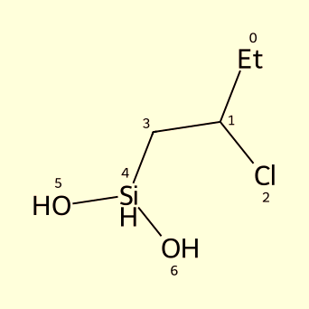 CCC(Cl)C[SiH](O)O